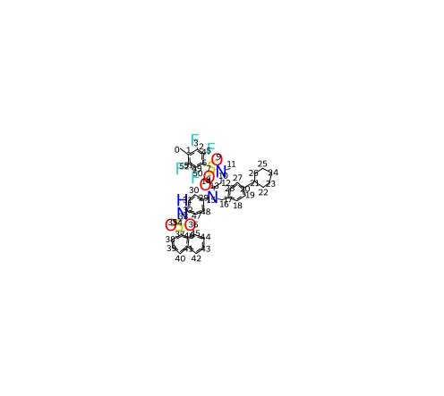 Cc1c(F)c(F)c(S(=O)(=O)N(C)CC(=O)N(Cc2ccc(C3CCCCC3)cc2)c2ccc(NS(=O)(=O)c3cccc4ccccc34)cc2)c(F)c1F